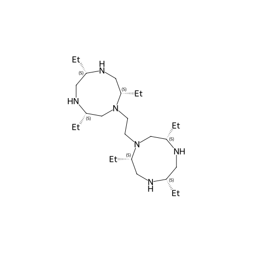 CC[C@H]1CN[C@@H](CC)CN(CCN2C[C@H](CC)NC[C@H](CC)NC[C@@H]2CC)[C@@H](CC)CN1